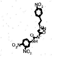 O=C([N-]c1c[n+](CCc2ccc([N+](=O)[O-])cc2)no1)Nc1ccc([N+](=O)[O-])c([N+](=O)[O-])c1